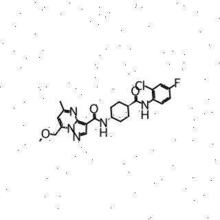 COCc1cc(C)nc2c(C(=O)N[C@H]3CC[C@H](C(=O)Nc4ccc(F)cc4Cl)CC3)cnn12